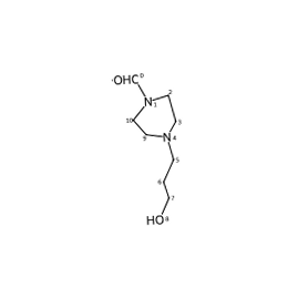 O=[C]N1CCN(CCCO)CC1